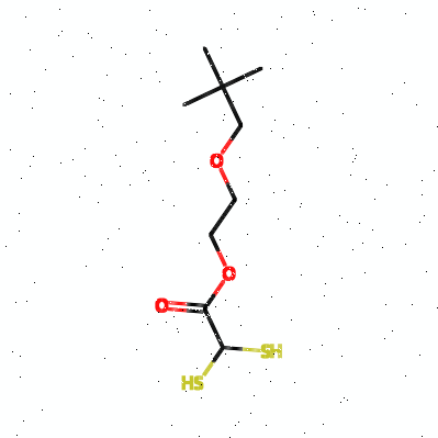 CC(C)(C)COCCOC(=O)C(S)S